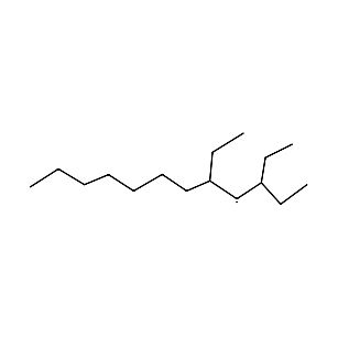 CCCCCCCC([CH]C(CC)CC)CC